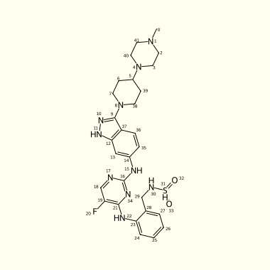 CN1CCN(C2CCN(c3n[nH]c4cc(Nc5ncc(F)c(Nc6ccccc6CN[SH](=O)=O)n5)ccc34)CC2)CC1